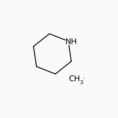 C1CCNCC1.[CH3]